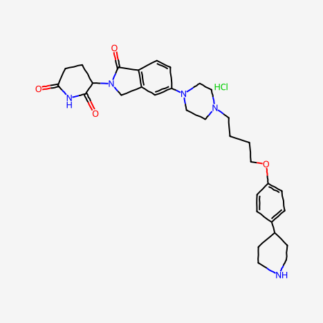 Cl.O=C1CCC(N2Cc3cc(N4CCN(CCCCOc5ccc(C6CCNCC6)cc5)CC4)ccc3C2=O)C(=O)N1